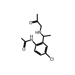 CC(=O)CNC(C)c1cc(Cl)ccc1NC(C)=O